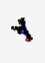 CCOCC1(CN(C)c2cc(-c3cnc(C4CC4)c(C(F)(F)F)c3)nc3nc(-c4ccc(N5CCC(C(=O)O)CC5)cc4)[nH]c23)CCCC1